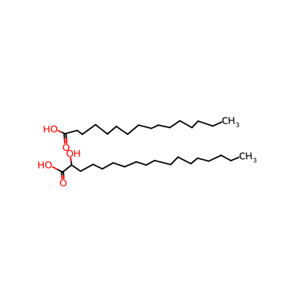 CCCCCCCCCCCCCCCC(=O)O.CCCCCCCCCCCCCCCCC(O)C(=O)O